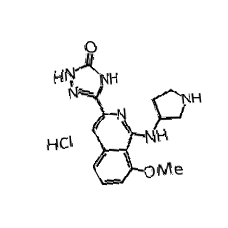 COc1cccc2cc(-c3n[nH]c(=O)[nH]3)nc(NC3CCNC3)c12.Cl